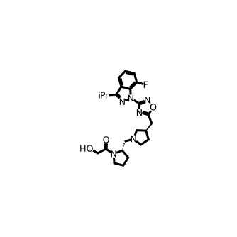 CC(C)c1nn(-c2noc(C[C@H]3CCN(C[C@@H]4CCCN4C(=O)CO)C3)n2)c2c(F)cccc12